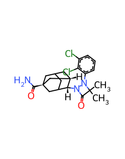 CC1(C)C(=O)N([C@@H]2C3CC4C[C@H]2C[C@@](C(N)=O)(C4)C3)N1c1cccc(Cl)c1Cl